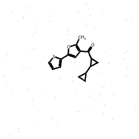 Cc1oc(-c2cccs2)cc1C(=O)C1CC1C1CC1